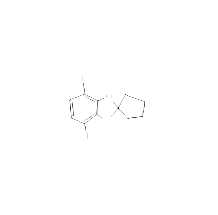 Ic1ccc(I)c2c1OC1(CCCC1)O2